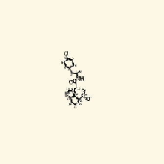 CC(Cc1ccc(Cl)cc1)NC(=O)Cn1cnc2cccc([N+](=O)[O-])c21